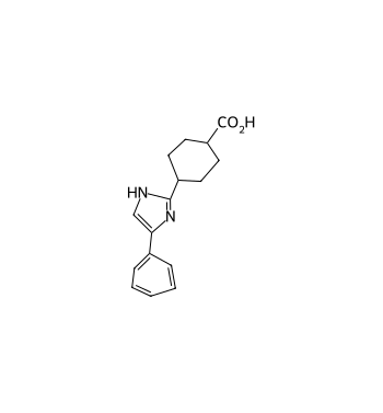 O=C(O)C1CCC(c2nc(-c3ccccc3)c[nH]2)CC1